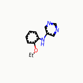 CCOc1ccccc1Nc1cncnc1